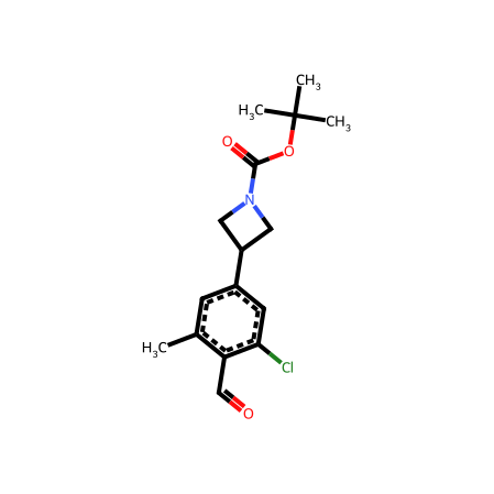 Cc1cc(C2CN(C(=O)OC(C)(C)C)C2)cc(Cl)c1C=O